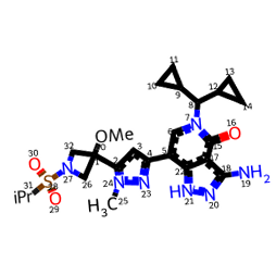 COC1(c2cc(-c3cn(C(C4CC4)C4CC4)c(=O)c4c(N)n[nH]c34)nn2C)CN(S(=O)(=O)C(C)C)C1